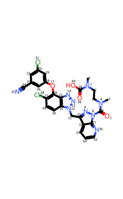 CN(CCN(C)C(=O)n1nc(Cn2nnc3c(Oc4cc(Cl)cc(C#N)c4)c(Cl)ccc32)c2cccnc21)C(=O)O